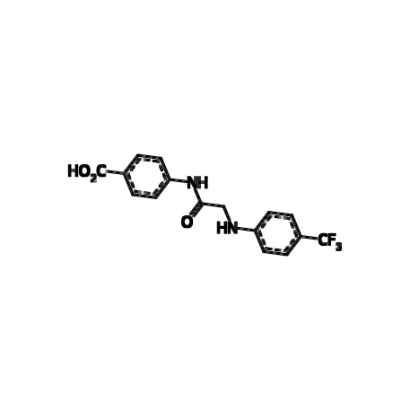 O=C(CNc1ccc(C(F)(F)F)cc1)Nc1ccc(C(=O)O)cc1